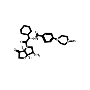 CC(C)N1CCN(c2ccc(C(=O)N[C@H](C(=O)N3C[C@@H](N)[C@H]4OCC(=O)[C@H]43)C3CCCCC3)cc2)CC1